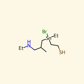 CCNCC(C)[CH2][Sn]([Br])([CH2]C)[CH2]CS